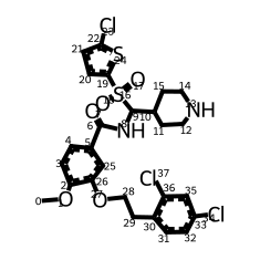 COc1ccc(C(=O)NC(C2CCNCC2)S(=O)(=O)c2ccc(Cl)s2)cc1OCCc1ccc(Cl)cc1Cl